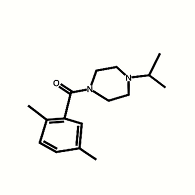 Cc1ccc(C)c(C(=O)N2CCN(C(C)C)CC2)c1